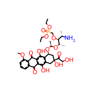 CCOP(=O)(CO[C@@H]([C@H](C)N)[C@H](C)O[C@H](C)O[C@H]1C[C@](O)(C(=O)CO)Cc2c(O)c3c(c(O)c21)C(=O)c1c(OC)cccc1C3=O)OCC